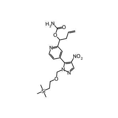 C=CCC(OC(N)=O)c1cc(-c2c([N+](=O)[O-])cnn2COCC[Si](C)(C)C)ccn1